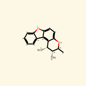 CC(=O)O[C@@H]1c2c(ccc3oc4ccccc4c23)OC(C)[C@@H]1OC(C)=O